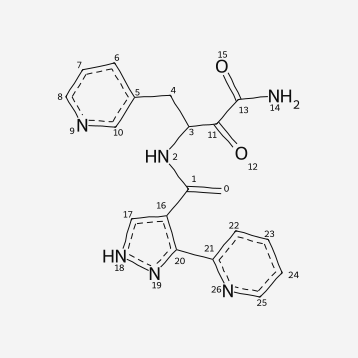 C=C(NC(Cc1cccnc1)C(=O)C(N)=O)c1c[nH]nc1-c1ccccn1